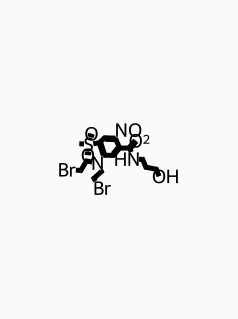 CS(=O)(=O)c1cc([N+](=O)[O-])c(C(=O)NCCCO)cc1N(CCBr)CCBr